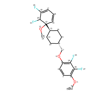 CCCCOc1ccc(OC[C@H]2CC[C@H](C3(OCC)C=CC=C(F)C3F)CC2)c(F)c1F